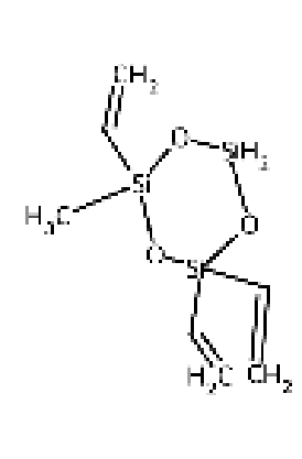 C=C[Si]1(C)O[SiH2]O[Si](C=C)(C=C)O1